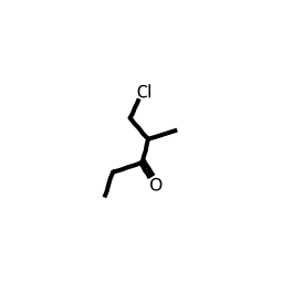 CCC(=O)C(C)CCl